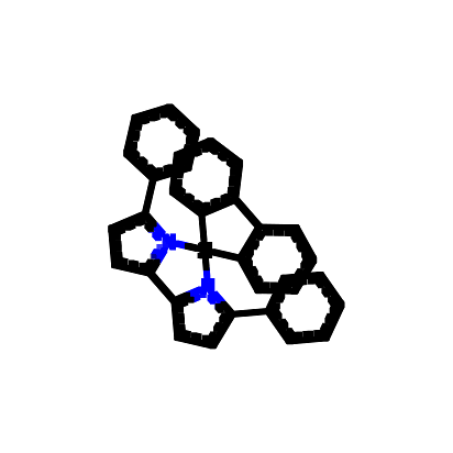 c1ccc(-c2ccc3n2[Si]2(c4ccccc4-c4ccccc42)n2c(-c4ccccc4)ccc2-3)cc1